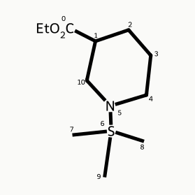 CCOC(=O)C1CCCN(S(C)(C)C)C1